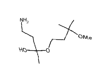 COC(C)(C)CCOC(C)(O)CCN